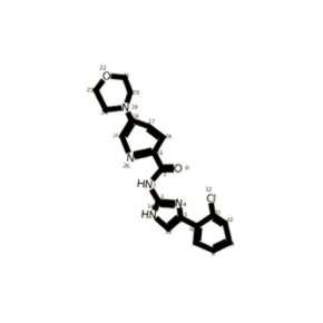 O=C(Nc1nc(-c2ccccc2Cl)c[nH]1)c1ccc(N2CCOCC2)cn1